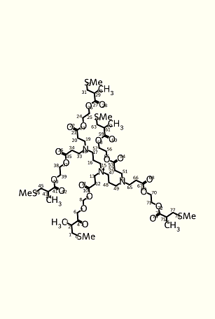 CSCC(C)C(=O)COCOC(=O)CCN(CCCN(CCC(=O)OCCOC(=O)C(C)CSC)CCC(=O)OCCOC(=O)C(C)CSC)CCCN(CCC(=O)OCCOC(=O)C(C)CSC)CCC(=O)OCCOC(=O)C(C)CSC